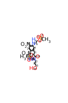 CS(=O)(=O)OCCNc1cc(CC(OS(C)(=O)=O)C(=O)NCCCO)c([N+](=O)[O-])cc1[N+](=O)[O-]